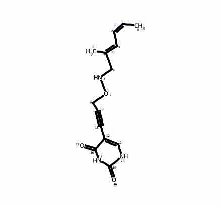 C/C=C\C=C(/C)CNOCC#Cc1c[nH]c(=O)[nH]c1=O